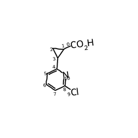 O=C(O)C1CC1c1cccc(Cl)n1